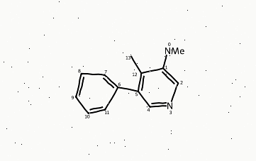 CNc1cn[c]c(-c2ccccc2)c1C